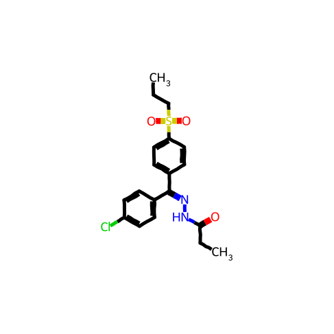 CCCS(=O)(=O)c1ccc(C(=NNC(=O)CC)c2ccc(Cl)cc2)cc1